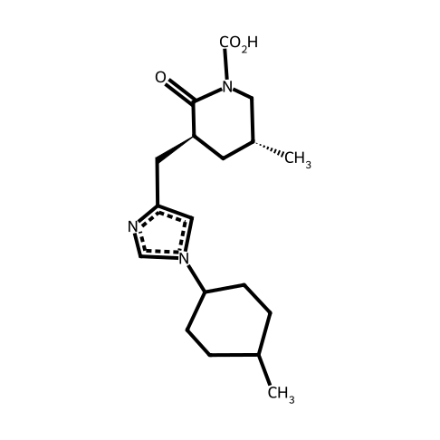 CC1CCC(n2cnc(C[C@@H]3C[C@@H](C)CN(C(=O)O)C3=O)c2)CC1